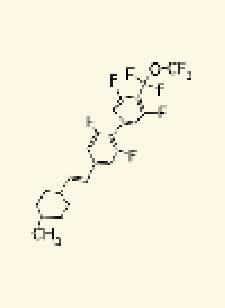 CC1CCC(/C=C/c2cc(F)c(-c3cc(F)c(C(F)(F)OC(F)(F)F)c(F)c3)c(F)c2)CC1